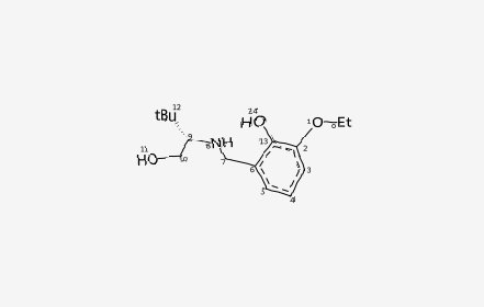 CCOc1cccc(CN[C@H](CO)C(C)(C)C)c1O